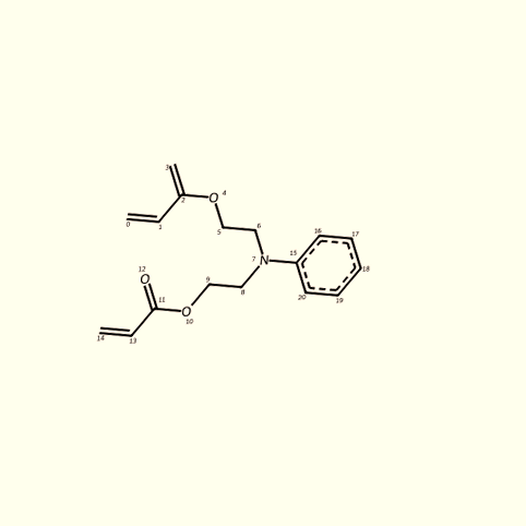 C=CC(=C)OCCN(CCOC(=O)C=C)c1ccccc1